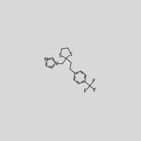 FC(F)(F)c1ccc(CCC2(Cn3ccnc3)SCCS2)cc1